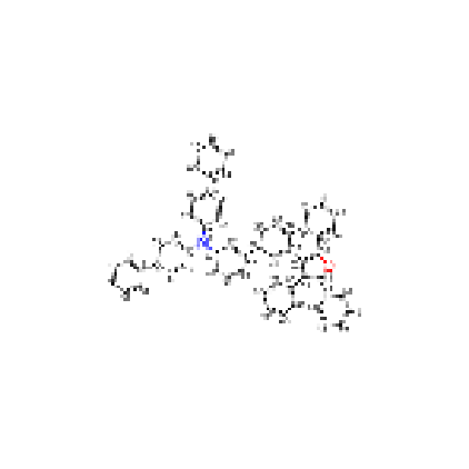 c1ccc(-c2ccc(N(c3ccc(-c4ccccc4)cc3)c3cccc(-c4ccc5c6ccccc6c6oc(-c7ccccc7)c(-c7ccccc7)c6c5c4)c3)cc2)cc1